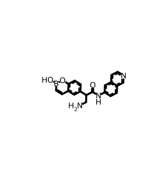 NCC(C(=O)Nc1ccc2cnccc2c1)c1ccc2c(c1)C=CB(O)O2